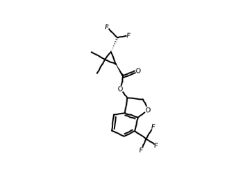 CC1(C)[C@H](C(=O)OC2COc3c2cccc3C(F)(F)F)[C@H]1C(F)F